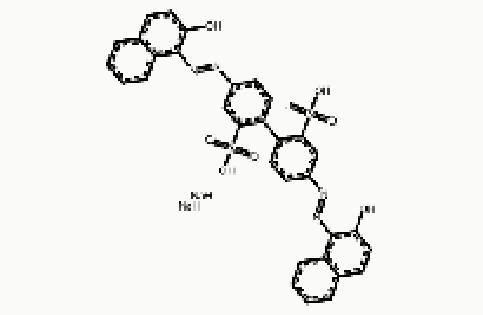 O=S(=O)(O)c1cc(N=Nc2c(O)ccc3ccccc23)ccc1-c1ccc(N=Nc2c(O)ccc3ccccc23)cc1S(=O)(=O)O.[NaH].[NaH]